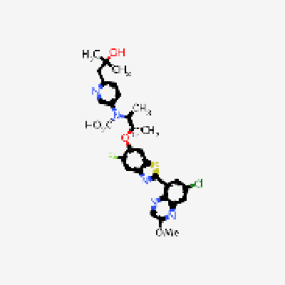 COc1cnc2c(-c3nc4cc(F)c(O[C@@H](C)C(C)N(C(=O)O)c5ccc(CC(C)(C)O)nc5)cc4s3)cc(Cl)cc2n1